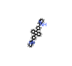 C1=CC2NC(c3ccc(-c4c5ccccc5c(-c5ccc(-c6cn7ccccc7n6)cc5)c5ccccc45)cc3)=CN2C=C1